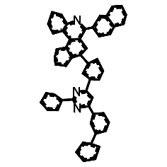 c1ccc(-c2cccc(-c3cc(-c4cccc(-c5cc6c(-c7ccc8ccccc8c7)nc7ccccc7c6c6ccccc56)c4)nc(-c4ccccc4)n3)c2)cc1